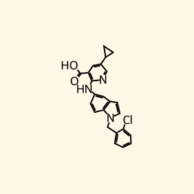 O=C(O)c1cc(C2CC2)cnc1Nc1ccc2c(ccn2Cc2ccccc2Cl)c1